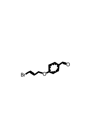 O=Cc1ccc(OCC=CBr)cc1